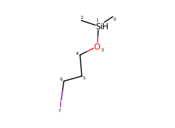 C[SiH](C)OCCCI